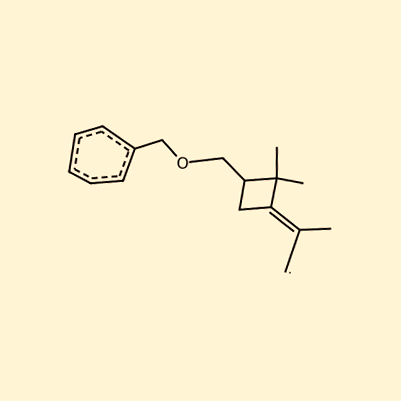 [CH2]C(C)=C1CC(COCc2ccccc2)C1(C)C